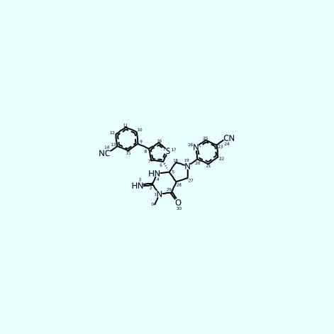 CN1C(=N)N[C@@]2(c3cc(-c4cccc(C#N)c4)cs3)CN(c3ccc(C#N)cn3)CC2C1=O